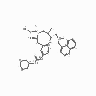 C[C@@H]1CN([C@@H](C)CO)C(=O)Cc2cc(NC(=O)NC3CCCCC3)ccc2O[C@H]1CN(C)Cc1ccnc2ccccc12